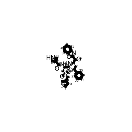 O=C(N[C@H](CS(=O)(=O)Cc1ccsc1)C(=O)N[C@@H](CCc1ccccc1)C(=O)c1nc2ccccc2o1)C1CNC1